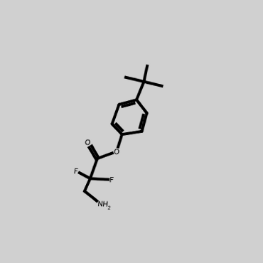 CC(C)(C)c1ccc(OC(=O)C(F)(F)CN)cc1